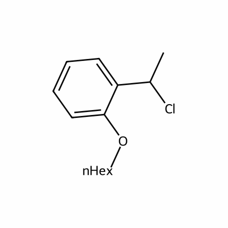 CCCCCCOc1ccccc1C(C)Cl